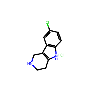 Cl.Clc1ccc2[nH]c3c(c2c1)CNCC3